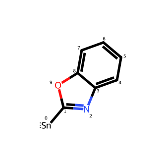 [Sn][c]1nc2ccccc2o1